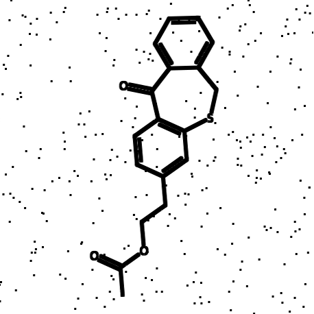 CC(=O)OCCc1ccc2c(c1)SCc1ccccc1C2=O